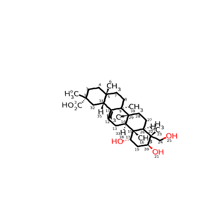 C[C@@]1(C(=O)O)CC[C@]2(C)CC[C@]3(C)C(=CC[C@@H]4[C@@]5(C)[C@@H](O)C[C@H](O)[C@@](C)(CO)[C@@H]5CC[C@]43C)[C@@H]2C1